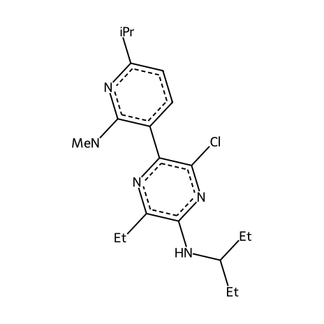 CCc1nc(-c2ccc(C(C)C)nc2NC)c(Cl)nc1NC(CC)CC